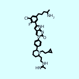 CC(=N)NCCC1CCCC(c2ccc(-n3cc4cc(-c5cc(CCCC(C)N)cc(Cl)c5F)[nH]c4nc3=O)cc2)N1CCC1CC1